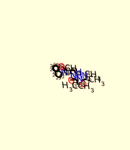 CC[C@H](NC)C(=O)N[C@H](C(=O)N1CCC[C@H]1CN(C(C)=O)[C@@H]1CCCc2ccccc21)C(C)C